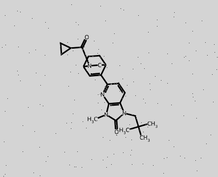 Cn1c(=O)n(CC(C)(C)C)c2ccc(C3=CC4CCC3CN4C(=O)C3CC3)nc21